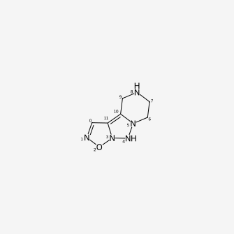 C1=NON2NN3CCNCC3=C12